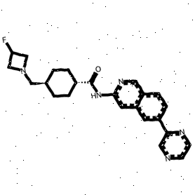 O=C(Nc1cc2cc(-c3cnccn3)ccc2cn1)[C@H]1CC[C@H](CN2CC(F)C2)CC1